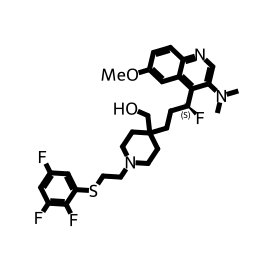 COc1ccc2ncc(N(C)C)c([C@@H](F)CCC3(CO)CCN(CCSc4cc(F)cc(F)c4F)CC3)c2c1